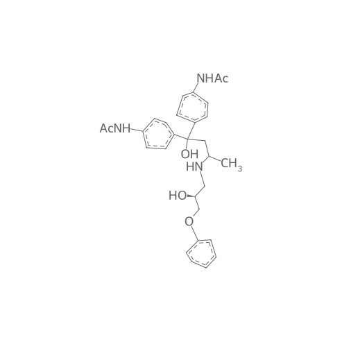 CC(=O)Nc1ccc(C(O)(CC(C)NC[C@H](O)COc2ccccc2)c2ccc(NC(C)=O)cc2)cc1